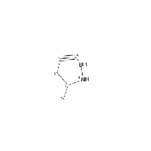 CC1CC#CBN1